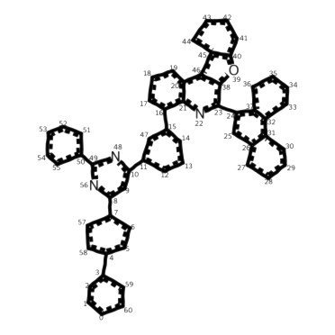 c1ccc(-c2ccc(-c3cc(-c4cccc(-c5cccc6c5nc(-c5cc7ccccc7c7ccccc57)c5oc7ccccc7c56)c4)nc(-c4ccccc4)n3)cc2)cc1